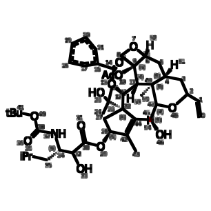 C=CC1C[C@H]2C[C@H]3OC[C@@]3(OC(C)=O)[C@H]3[C@H](OC(=O)c4ccccc4)[C@]4(C(C)(C)O)C[C@H](OC(=O)C(O)[C@H](CC(C)C)NC(=O)OC(C)(C)C)C(C)=C4[C@H](O)[C@H](O1)[C@]23C